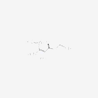 CCOC(=O)/C=C(/N)N(C)C.Cl